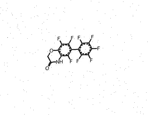 O=C1COc2c(F)c(F)c(-c3c(F)c(F)c(F)c(F)c3F)c(F)c2N1